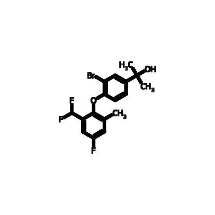 Cc1cc(F)cc(C(F)F)c1Oc1ccc(C(C)(C)O)cc1Br